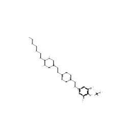 CCCCCCCC1CCC(CCC2CCC(CCc3cc(F)c(OC(F)(F)F)c(F)c3)CC2)CC1